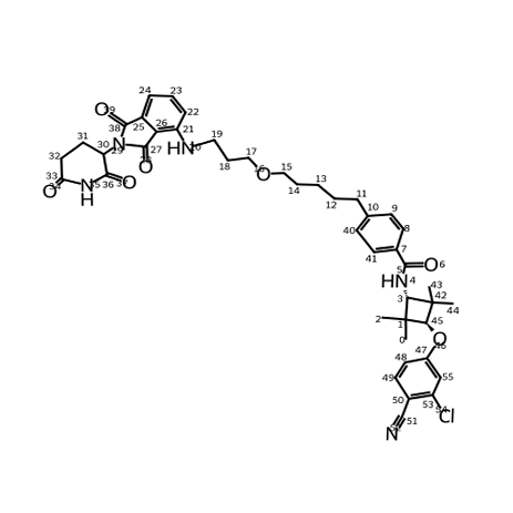 CC1(C)[C@H](NC(=O)c2ccc(CCCCCOCCCNc3cccc4c3C(=O)N(C3CCC(=O)NC3=O)C4=O)cc2)C(C)(C)[C@H]1Oc1ccc(C#N)c(Cl)c1